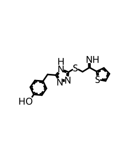 N=C(CSc1nnc(Cc2ccc(O)cc2)[nH]1)c1cccs1